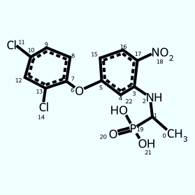 CC(Nc1cc(Oc2ccc(Cl)cc2Cl)ccc1[N+](=O)[O-])P(=O)(O)O